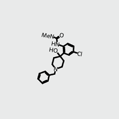 CNC(=O)Nc1ccc(Cl)cc1C1(O)CCN(Cc2ccccc2)CC1